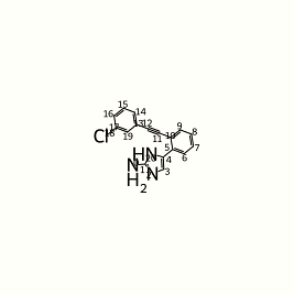 Nc1ncc(-c2ccccc2C#Cc2cccc(Cl)c2)[nH]1